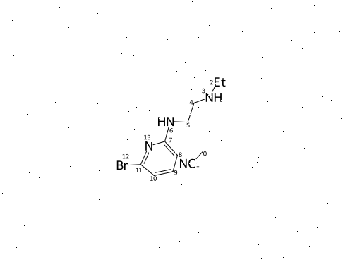 CC#N.CCNCCNc1cccc(Br)n1